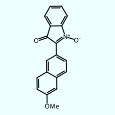 COc1ccc2cc(C3=[N+]([O-])c4ccccc4C3=O)ccc2c1